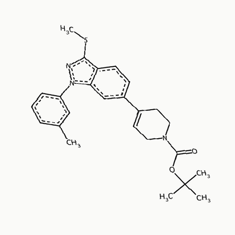 CSc1nn(-c2cccc(C)c2)c2cc(C3=CCN(C(=O)OC(C)(C)C)CC3)ccc12